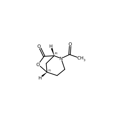 CC(=O)N1CC[C@H]2C[C@@H]1C(=O)O2